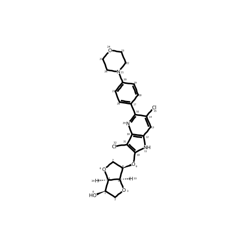 O[C@@H]1CO[C@H]2[C@@H]1OC[C@H]2Oc1[nH]c2cc(Cl)c(-c3ccc(N4CCOCC4)cc3)nc2c1Cl